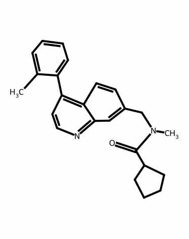 Cc1ccccc1-c1ccnc2cc(CN(C)C(=O)C3CCCC3)ccc12